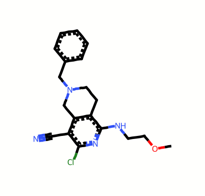 COCCNc1nc(Cl)c(C#N)c2c1CCN(Cc1ccccc1)C2